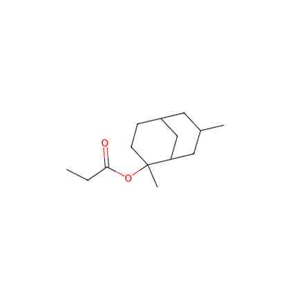 CCC(=O)OC1(C)CCC2CC(C)CC1C2